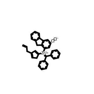 C=CCC1=CC[C]([Zr+2](=[C](c2ccccc2)c2ccccc2)[c]2cccc3c2Cc2ccccc2-3)=C1.[Cl-].[Cl-]